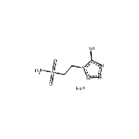 NS(=O)(=O)CCn1nnnc1S.[NaH]